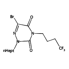 CCCCCCCn1nc(Br)c(=O)n(CCCC(F)(F)F)c1=O